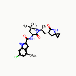 COc1cc(Cl)cc2[nH]c(C(=O)N[C@@H](C[Si](C)(C)C)C(=O)N[C@H](C#N)C[C@@H]3CC4(CC4)NC3=O)cc12